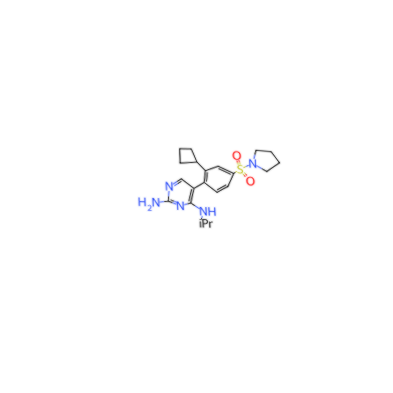 CC(C)Nc1nc(N)ncc1-c1ccc(S(=O)(=O)N2CCCC2)cc1C1CCC1